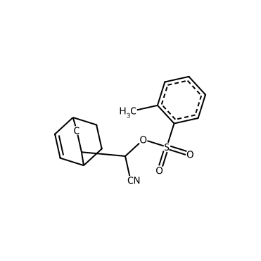 Cc1ccccc1S(=O)(=O)OC(C#N)C1CC2C=CC1CC2